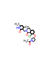 CC(=O)N1CC[C@@H](Oc2ccc3c(c2Cl)C(=O)N(Cc2c(C)cc(C)[nH]c2=O)CC3)C1